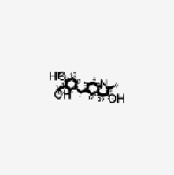 Cc1nc2ccc(Cc3ccc(O)c(CO)c3)cc2cc1O